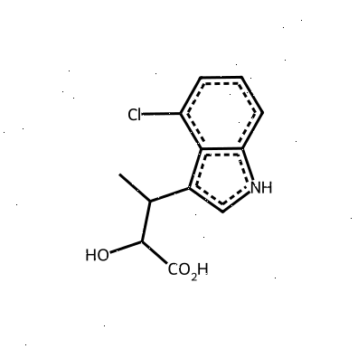 CC(c1c[nH]c2cccc(Cl)c12)C(O)C(=O)O